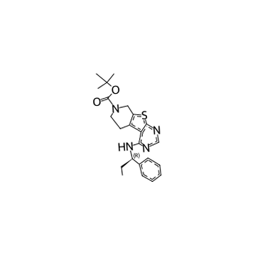 CC[C@@H](Nc1ncnc2sc3c(c12)CCN(C(=O)OC(C)(C)C)C3)c1ccccc1